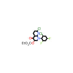 CCOC(=O)Oc1cn(-c2c(F)cc(F)cc2Cl)c2nc(Cl)ccc2c1=O